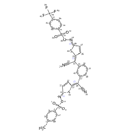 Cc1ccc(S(=O)(=O)O/N=C2C=C/C(=C(/C#N)c3cccc(/C(C#N)=C4C=C/C(=N/OS(=O)(=O)c5ccc(C(F)(F)F)cc5)S\4)c3)S/2)cc1